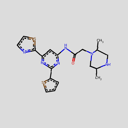 CC1CN(CC(=O)Nc2cc(-c3nccs3)nc(-c3cccs3)n2)C(C)CN1